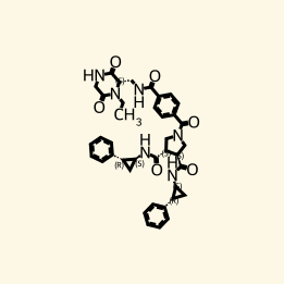 CCN1C(=O)CNC(=O)[C@@H]1CNC(=O)c1ccc(C(=O)N2C[C@@H](C(=O)N[C@H]3C[C@@H]3c3ccccc3)[C@H](C(=O)N[C@H]3C[C@@H]3c3ccccc3)C2)cc1